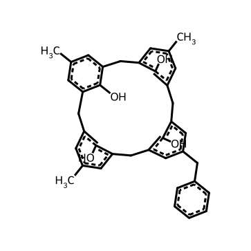 Cc1cc2c(O)c(c1)Cc1cc(C)cc(c1O)Cc1cc(Cc3ccccc3)cc(c1O)Cc1cc(C)cc(c1O)C2